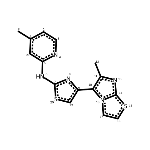 Cc1ccnc(Nc2nc(-c3c(C)nc4sccn34)cs2)c1